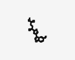 COC(=O)CCC(=O)c1cc(-c2coc3ccc(F)cc23)cs1